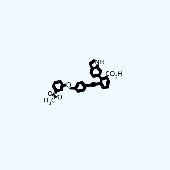 CS(=O)(=O)c1cccc(OCc2ccc(C#Cc3cccc(C(=O)O)c3-c3ccc4cc[nH]c4c3)cc2)c1